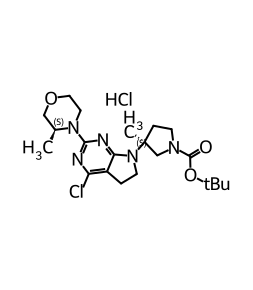 C[C@H]1COCCN1c1nc(Cl)c2c(n1)N([C@@]1(C)CCN(C(=O)OC(C)(C)C)C1)CC2.Cl